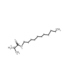 CCCCCCCCCCCOC(=O)C(C)C